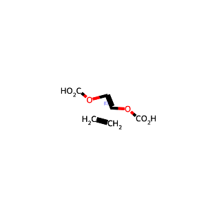 C=C.O=C(O)O/C=C/OC(=O)O